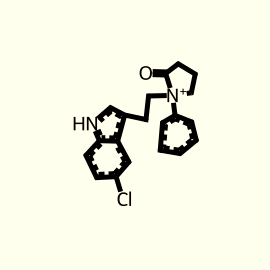 O=C1CCC[N+]1(CCc1c[nH]c2ccc(Cl)cc12)c1ccccc1